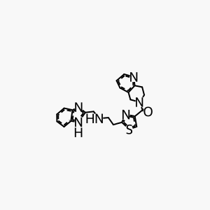 O=C(c1csc(CCNCc2nc3ccccc3[nH]2)n1)N1CCc2ncccc2C1